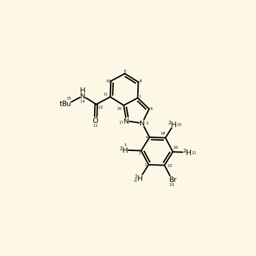 [2H]c1c([2H])c(-n2cc3cccc(C(=O)NC(C)(C)C)c3n2)c([2H])c([2H])c1Br